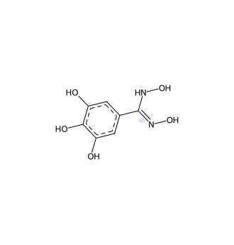 O/N=C(\NO)c1cc(O)c(O)c(O)c1